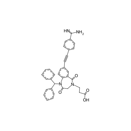 N=C(N)c1ccc(C#Cc2ccc3c(c2)C(=O)N(CCC(=O)O)CC(=O)N3C(c2ccccc2)c2ccccc2)cc1